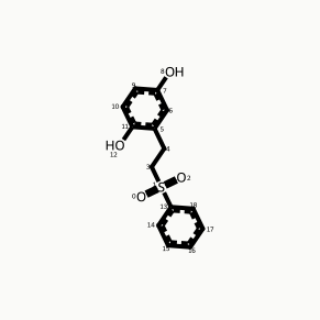 O=S(=O)(CCc1cc(O)ccc1O)c1ccccc1